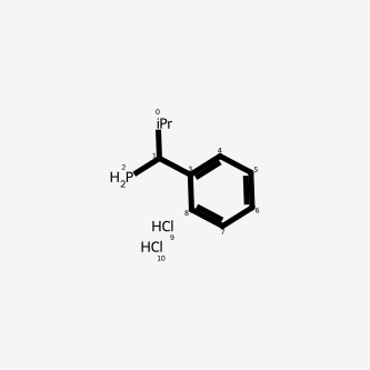 CC(C)C(P)c1ccccc1.Cl.Cl